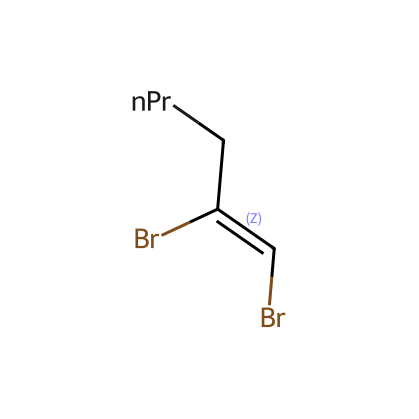 CCCC/C(Br)=C/Br